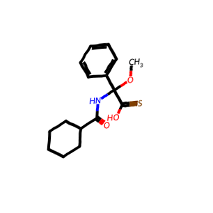 COC(NC(=O)C1CCCCC1)(C(O)=S)c1ccccc1